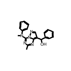 Cc1nc(N(C)c2ccccc2)n2ncc(C(O)c3ccccc3)c2n1